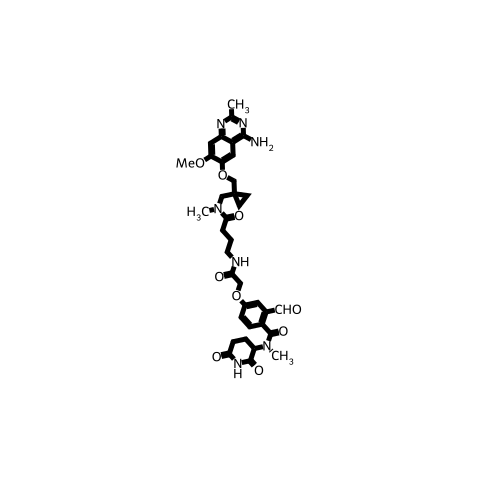 COc1cc2nc(C)nc(N)c2cc1OCC1(CN(C)C(=O)CCCNC(=O)COc2ccc(C(=O)N(C)C3CCC(=O)NC3=O)c(C=O)c2)CC1